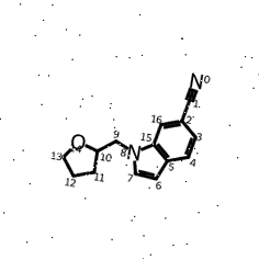 N#Cc1ccc2ccn(CC3CCCO3)c2c1